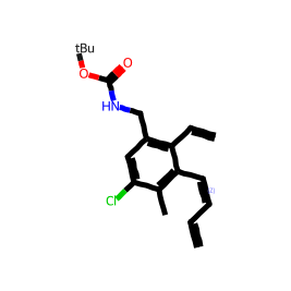 C=C/C=C\c1c(C)c(Cl)cc(CNC(=O)OC(C)(C)C)c1C=C